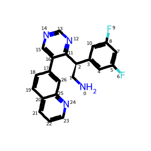 NC[C@H](c1cc(F)cc(F)c1)c1ncncc1-c1ccc2cccnc2c1